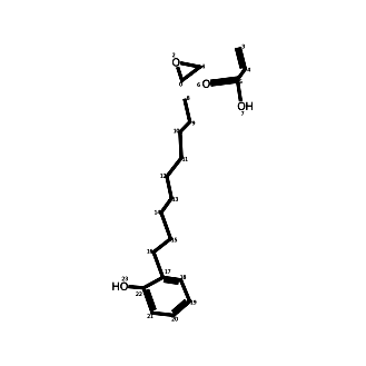 C1CO1.C=CC(=O)O.CCCCCCCCCc1ccccc1O